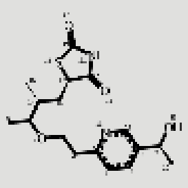 CC(OCCc1ccc([C@H](C)O)cn1)[C@H](C)C[C@H]1SC(=O)NC1=O